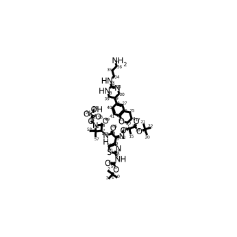 CC(C)(C)OC(=O)Nc1nc(/C(=N/OC(C)(C(=O)OC(C)(C)C)[C@H]2CCc3cc(C4CN=C(NCCCN)NC4)ccc3O2)C(=O)N[C@@H]2C(=O)N(OS(=O)(=O)O)C2(C)C)cs1